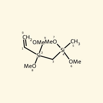 C=C[Si](C[Si](C)(OC)OC)(OC)OC